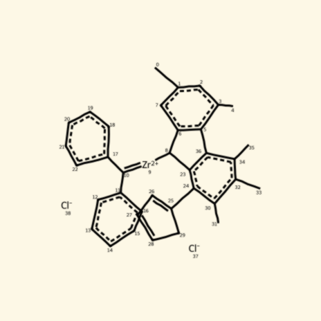 Cc1cc(C)c2c(c1)[CH]([Zr+2]=[C](c1ccccc1)c1ccccc1)c1c(C3=CC=CC3)c(C)c(C)c(C)c1-2.[Cl-].[Cl-]